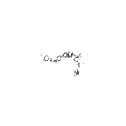 COc1cc(C(=O)NC[C@H]2OC[C@@H]3CC32)ccc1Nc1nc2ccc(-c3ccc(C(=O)NCc4ccc(F)cc4)cc3)cn2n1